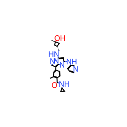 Cc1cc(-c2cnn3c(NC[C@H]4C[C@@](C)(O)C4)cc(Nc4cccnc4)nc23)ccc1C(=O)NC1CC1